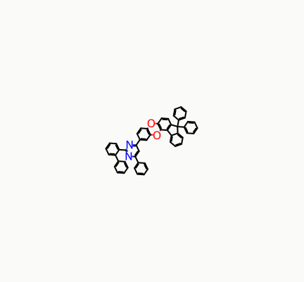 c1ccc(-c2cc(-c3ccc4c(c3)Oc3c(ccc5c3-c3ccccc3C5(c3ccccc3)c3ccccc3)O4)nc(-c3ccccc3-c3ccccc3)n2)cc1